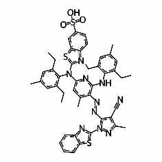 CCc1cc(C)cc(CC)c1Nc1nc(N(c2nc3ccc(S(=O)(=O)O)cc3s2)c2c(CC)cc(C)cc2CC)cc(C)c1N=Nc1c(C#N)c(C)nn1-c1nc2ccccc2s1